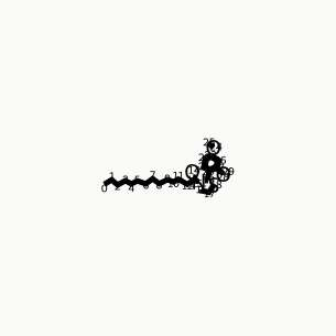 CCCCCCCCCCCCCC(=O)N1CCSC1c1ccc(OC)cc1OC